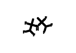 CC(F)(NC(C)(F)C(F)F)C(F)F